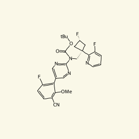 COc1c(C#N)ccc(F)c1-c1cnc(N(C[C@]2(c3ncccc3F)C[C@H](F)C2)C(=O)OC(C)(C)C)nc1